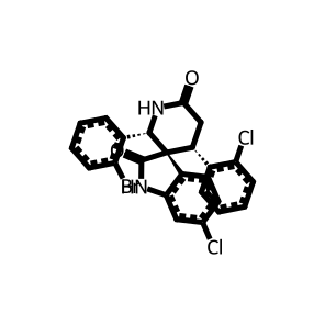 O=C1C[C@H](c2ccccc2Cl)[C@]2(C(=O)Nc3cc(Cl)ccc32)[C@H](c2ccccc2Br)N1